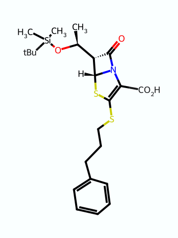 C[C@H](O[Si](C)(C)C(C)(C)C)[C@@H]1C(=O)N2C(C(=O)O)=C(SCCCc3ccccc3)S[C@H]12